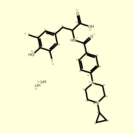 O=C(NC(Cc1cc(I)c(O)c(I)c1)C(=O)O)c1ccc(N2CCN(C3CC3)CC2)cc1.[LiH].[LiH]